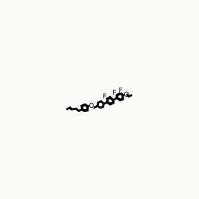 C/C=C/CCc1ccc(OCC2CCC(c3ccc(-c4ccc(OCC)c(F)c4F)cc3F)CC2)cc1